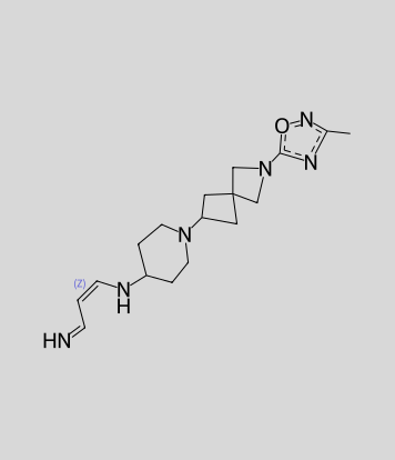 Cc1noc(N2CC3(CC(N4CCC(N/C=C\C=N)CC4)C3)C2)n1